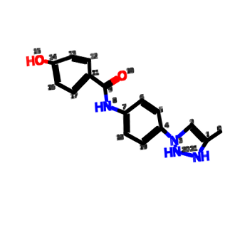 CC1=CN(c2ccc(NC(=O)c3ccc(O)cc3)cc2)NN1